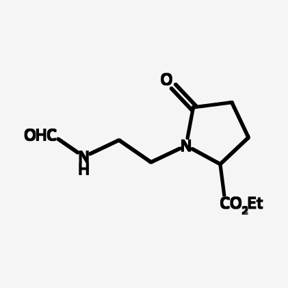 CCOC(=O)C1CCC(=O)N1CCNC=O